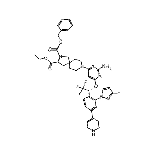 CCOC(=O)C1CC2(CCN(c3cc(O[C@H](c4ccc(C5=CCNCC5)cc4-n4ccc(C)n4)C(F)(F)F)nc(N)n3)CC2)CN1C(=O)OCc1ccccc1